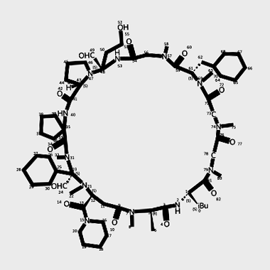 CC[C@H](C)[C@@H]1NC(=O)[C@@H](C)N(C)C(=O)C[C@@H](C(=O)N2CCCCC2)N(C)[C@@](C=O)(C2CCCCC2)N(C)C(=O)C2(CCCC2)NC(=O)[C@@H]2CCCN2[C@](C=O)(CCO)NC(=O)CN(C)C(=O)[C@H](CC2CCCCC2)N(C)C(=O)CN(C)C(=O)CN(C)C1=O